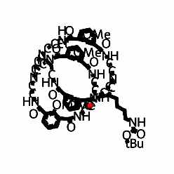 CCc1ccc2c(OC)c1C(=O)NCCN1CCNC(=O)c3cccc(c3OC)C(=O)NCCN(CCNC2=O)C(CCCCNC(=O)OC(C)(C)C)CN2CCNC(=O)c3cccc(c3OC)C(=O)NCCN(CCNC(=O)c3cccc(c3OC)C(=O)NCC2)CC1